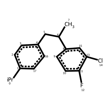 CC(C)c1ccc(CC(C)c2ccc(F)c(Cl)c2)cc1